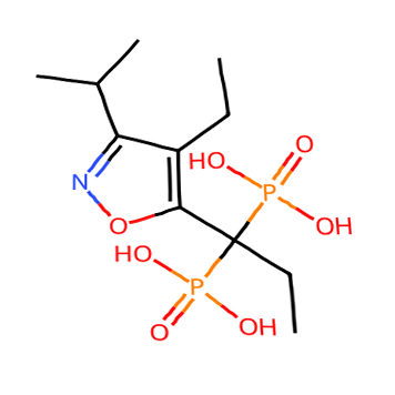 CCc1c(C(C)C)noc1C(CC)(P(=O)(O)O)P(=O)(O)O